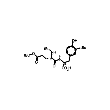 CC(C)(C)N[C@@H](CCC(=O)OC(C)(C)C)C(=O)N[C@@H](Cc1ccc(O)c(C(C)(C)C)c1)C(=O)O